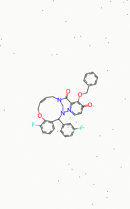 O=C1c2c(OCc3ccccc3)c(=O)ccn2N2CN1C/C=C\COc1c(F)cccc1C2c1cccc(F)c1